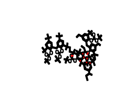 CCc1cc(Cc2cc(CC)cc(C(C)(C)CC(C)(C)c3cc(C(C)CC)cc(C(C)c4cc(C(C)CC)cc(C(C)(C)CCC(C)(C)c5cc(C(C)(C)C)cc(Cc6cc(C(C)(C)C)cc(C(C)(C)C)c6OC(=O)OC(C)(C)C)c5OC(=O)OC(C)(C)C)c4OC(=O)OC(C)(C)C)c3OC(=O)OC(C)(C)C)c2OC(=O)OC(C)(C)C)c(OC(=O)OC(C)(C)C)c(C(C)(C)C)c1